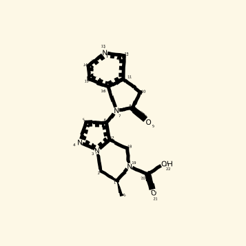 C[C@H]1Cn2ncc(N3C(=O)Cc4cnccc43)c2CN1C(=O)O